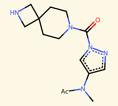 CC(=O)N(C)c1cnn(C(=O)N2CCC3(CC2)CNC3)c1